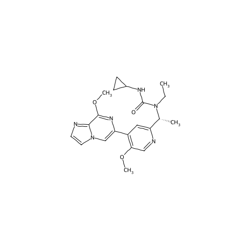 CCN(C(=O)NC1CC1)[C@H](C)c1cc(-c2cn3ccnc3c(OC)n2)c(OC)cn1